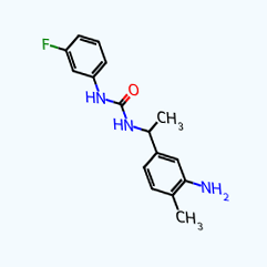 Cc1ccc(C(C)NC(=O)Nc2cccc(F)c2)cc1N